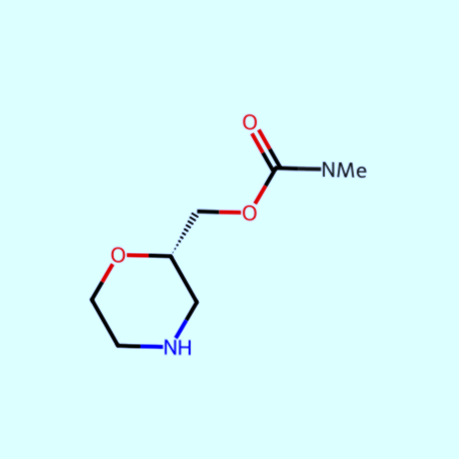 CNC(=O)OC[C@@H]1CNCCO1